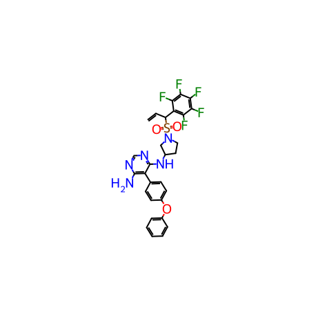 C=CC(c1c(F)c(F)c(F)c(F)c1F)S(=O)(=O)N1CCC(Nc2ncnc(N)c2-c2ccc(Oc3ccccc3)cc2)C1